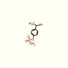 CC(C)C(C)c1ccc(OS(C)(=O)=O)cc1